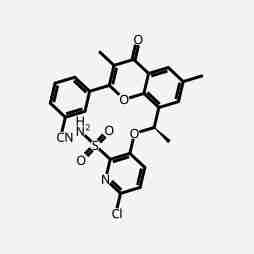 Cc1cc([C@@H](C)Oc2ccc(Cl)nc2S(N)(=O)=O)c2oc(-c3cccc(C#N)c3)c(C)c(=O)c2c1